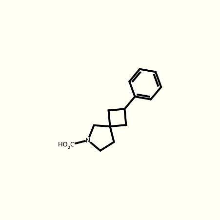 O=C(O)N1CCC2(CC(c3ccccc3)C2)C1